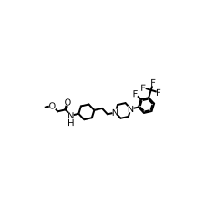 COCC(=O)NC1CCC(CCN2CCN(c3cccc(C(F)(F)F)c3F)CC2)CC1